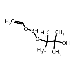 C=COBOC(C)(C)C(C)(C)O